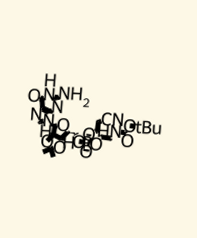 CC(C)(C)OC(=O)NCCOP(=O)(OCCC#N)OC[C@H]1O[C@@H](n2cnc3c(=O)[nH]c(N)nc32)[C@@H]2OC(C)(C)O[C@@H]21